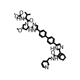 COC(=O)N[C@H](C(=O)N1C[C@@H](OC)C[C@H]1c1ncc(-c2ccc(-c3ccc(-c4cnc(C5C6CCC(C6)[C@H]5C(=O)NCc5cccnc5)[nH]4)cc3)cc2)[nH]1)C(C)C